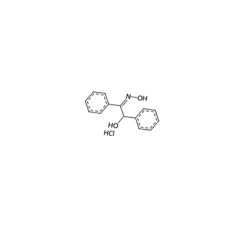 Cl.ON=C(c1ccccc1)C(O)c1ccccc1